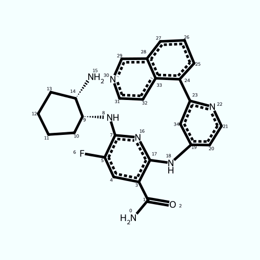 NC(=O)c1cc(F)c(N[C@@H]2CCCC[C@@H]2N)nc1Nc1ccnc(-c2cccc3cnccc23)c1